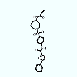 C=CC(=O)NC1CCCN(S(=O)(=O)c2ccc(NC(=O)c3ccc(-c4ccccc4)o3)cc2)CC1